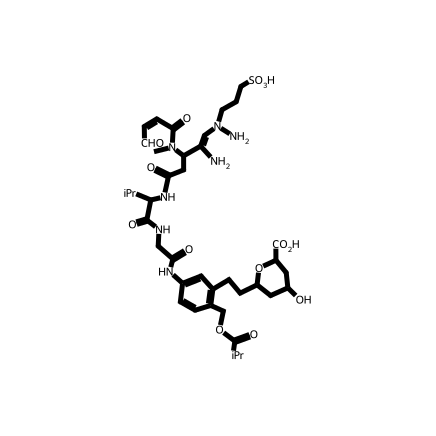 CC(C)C(=O)OCc1ccc(NC(=O)CNC(=O)C(NC(=O)CC(/C(N)=C/N(N)CCCS(=O)(=O)O)N(C)C(=O)/C=C\C=O)C(C)C)cc1CCC1CC(O)CC(C(=O)O)O1